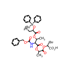 CCC(C)C(OC(=O)C(C)OC(=O)C(NC(=O)OCc1ccccc1)C(C)OC(=O)C(CC(C)C)O[Si](c1ccccc1)(c1ccccc1)C(C)(C)C)C(=O)O